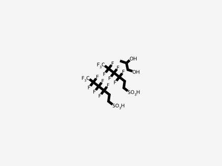 CC(O)CO.O=S(=O)(O)CCC(F)(F)C(F)(F)C(F)(F)C(F)(F)F.O=S(=O)(O)CCC(F)(F)C(F)(F)C(F)(F)C(F)(F)F